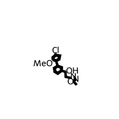 COc1cc(Cl)ccc1-c1cccc(C(O)Cc2nnc(C)o2)c1